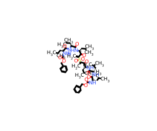 C=C(C(=O)[C@H](CC(C)C)NC(=O)[C@H](CC(C)C)NC(=O)[C@H](CC(C)C)NC(=O)OCc1ccccc1)S(=O)(=O)C(=C)C(=O)[C@H](CC(C)C)NC(=O)[C@H](CC(C)C)NC(=O)[C@H](CC(C)C)NC(=O)OCc1ccccc1